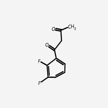 CC(=O)CC(=O)c1cccc(F)c1F